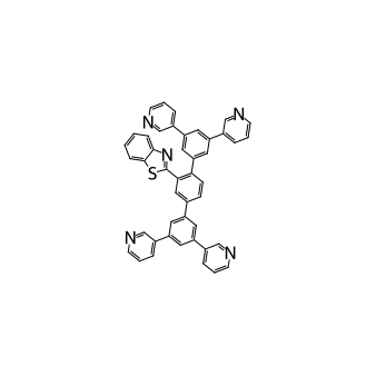 c1cncc(-c2cc(-c3cccnc3)cc(-c3ccc(-c4cc(-c5cccnc5)cc(-c5cccnc5)c4)c(-c4nc5ccccc5s4)c3)c2)c1